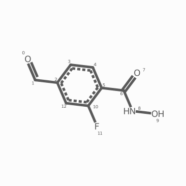 O=Cc1ccc(C(=O)NO)c(F)c1